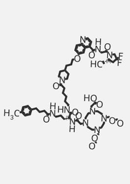 C#C[C@H]1CC(F)(F)CN1C(=O)CNC(=O)c1ccnc2ccc(OCCCC3CCN(C(=O)CCCCCNC(=O)[C@H](CCCNC(=O)CCCc4ccc(C)cc4)NC(=O)CN4CCN(COC=O)CCN(COC=O)CCN(CC(=O)O)CC4)CC3)cc12